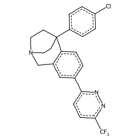 FC(F)(F)c1ccc(-c2ccc3c(c2)CN2CCC3(c3ccc(Cl)cc3)CC2)nn1